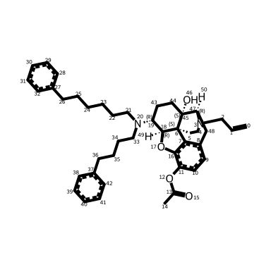 C=CCN1CC[C@]23c4c5ccc(OC(C)=O)c4O[C@H]2[C@H](N(CCCCCCc2ccccc2)CCCCc2ccccc2)CC[C@@]3(O)[C@H]1C5